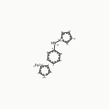 [Fe+2].c1cc[cH-]c1.c1ccc(N[c-]2cccc2)cc1